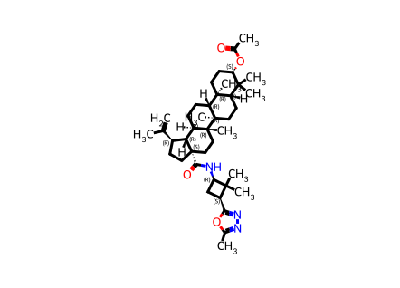 C=C(C)[C@@H]1CC[C@]2(C(=O)N[C@@H]3C[C@H](c4nnc(C)o4)C3(C)C)CC[C@]3(C)[C@H](CC[C@@H]4[C@@]5(C)CC[C@H](OC(C)=O)C(C)(C)[C@@H]5CC[C@]43C)[C@@H]12